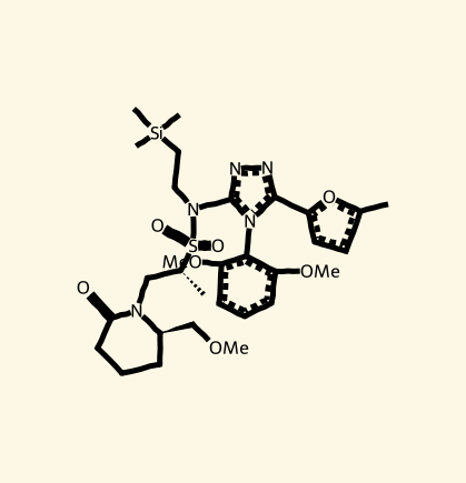 COC[C@H]1CCCC(=O)N1C[C@@H](C)S(=O)(=O)N(CC[Si](C)(C)C)c1nnc(-c2ccc(C)o2)n1-c1c(OC)cccc1OC